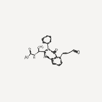 CC(NC(=O)O)c1nc2cccc(C=CC=O)c2c(=O)n1-c1ccccc1